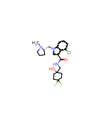 CN1CCC[C@H]1Cn1cc(C(=O)NCC2(O)CCC(F)(F)CC2)c2c(Cl)cccc21